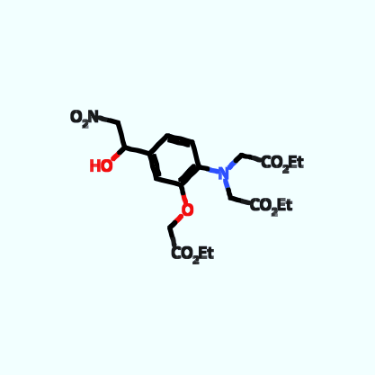 CCOC(=O)COc1cc(C(O)C[N+](=O)[O-])ccc1N(CC(=O)OCC)CC(=O)OCC